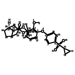 COc1c(Oc2ccc(S(=O)(=O)C3CC3)nc2)ncnc1OC1CC2CC[C@@H](C1)N2C(=O)OC(C)(C)C